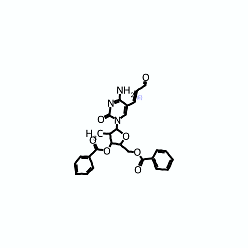 CC1C(OC(=O)c2ccccc2)C(COC(=O)c2ccccc2)OC1n1cc(/C=C/C=O)c(N)nc1=O